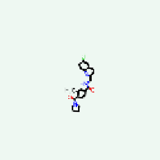 Cc1cc(C(=O)NCc2ccc3cc(Cl)ccc3n2)ccc1C(=O)N1CCCC1